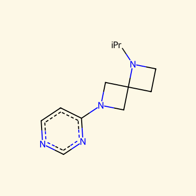 CC(C)N1CCC12CN(c1ccncn1)C2